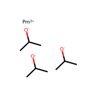 CC(C)[O-].CC(C)[O-].CC(C)[O-].[Pm+3]